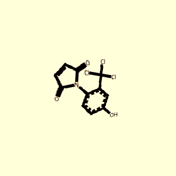 O=C1C=CC(=O)N1c1ccc(O)cc1C(Cl)(Cl)Cl